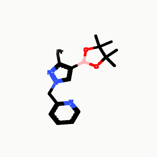 CC(C)c1nn(Cc2ccccn2)cc1B1OC(C)(C)C(C)(C)O1